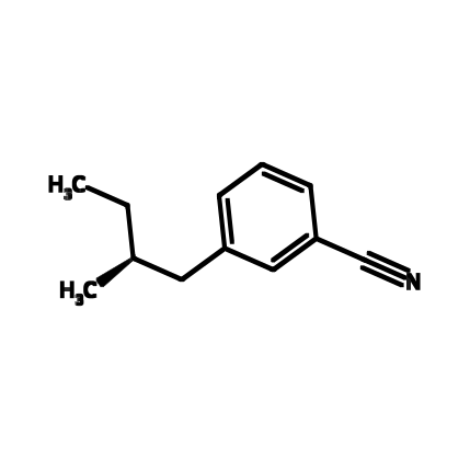 CC[C@H](C)Cc1cccc(C#N)c1